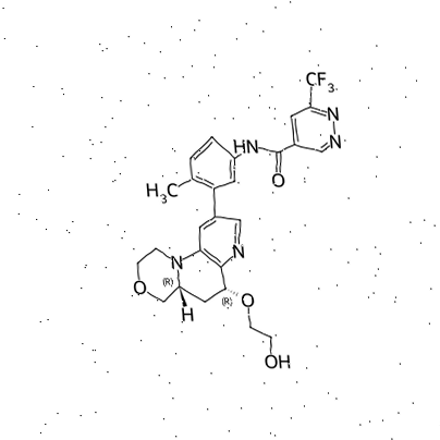 Cc1ccc(NC(=O)c2cnnc(C(F)(F)F)c2)cc1-c1cnc2c(c1)N1CCOC[C@H]1C[C@H]2OCCO